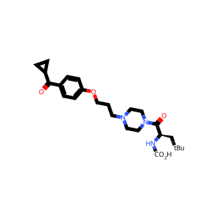 CC(C)(C)C[C@@H](NC(=O)O)C(=O)N1CCN(CCCOc2ccc(C(=O)C3CC3)cc2)CC1